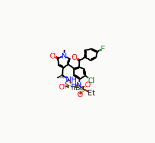 CCCC[S@+]([O-])N[C@@H](C)c1cc(=O)n(C)cc1-c1cc(NS(=O)(=O)CC)c(Cl)cc1C(=O)c1ccc(F)cc1